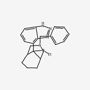 CCOC1(c2cccc3[nH]nnc23)C2CCCC1CN(Cc1ccccc1)C2